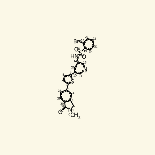 CN1Cc2cc(-c3ccc(-c4cncc(NS(=O)(=O)c5ccccc5Br)c4)s3)ccc2C1=O